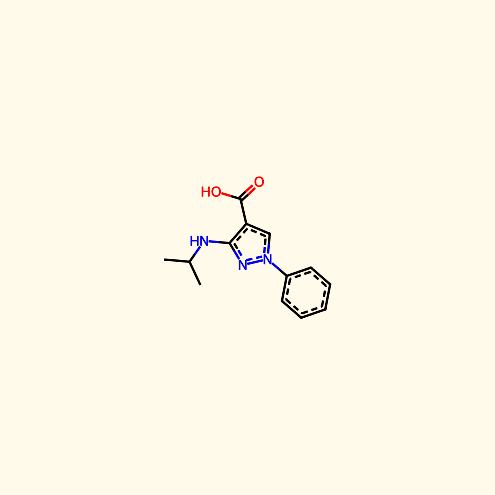 CC(C)Nc1nn(-c2ccccc2)cc1C(=O)O